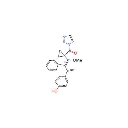 C=C(/C(=C(\OC)C1(C(=O)n2ccnc2)CC1)c1ccccc1)c1ccc(O)cc1